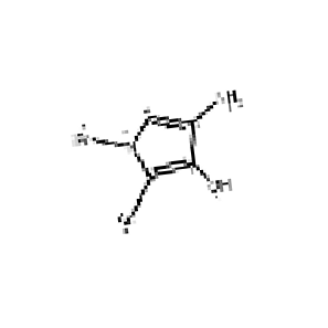 CC(=O)c1c(O)c(N)cn1C(C)C